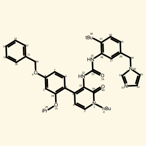 CCCCn1ccc(-c2ccc(OCc3ccccc3)cc2OC(C)C)c(NC(=O)Nc2cc(Cn3ccnc3)ccc2C(C)(C)C)c1=O